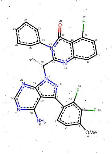 COc1ccc(-c2nn([C@H](C)c3nc4cccc(F)c4c(=O)n3-c3ccccc3)c3ncnc(N)c23)c(F)c1F